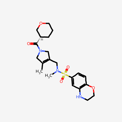 CC1=C(CN(C)S(=O)(=O)c2ccc3c(c2)NCCO3)CN(C(=O)[C@H]2CCCOC2)C1